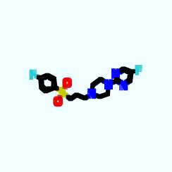 O=S(=O)(CCCN1CCN(c2ncc(F)cn2)CC1)c1ccc(F)cc1